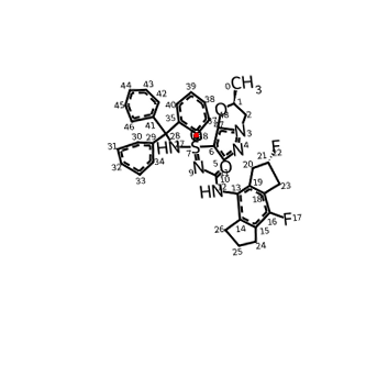 C[C@H]1Cn2ncc(S(=O)(=NC(=O)Nc3c4c(c(F)c5c3C[C@H](F)C5)CCC4)NC(c3ccccc3)(c3ccccc3)c3ccccc3)c2O1